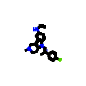 CCCCNc1ccc2c(c1)c1c(n2/C=C(\C)c2ccc(F)cc2)CCN(C)C1